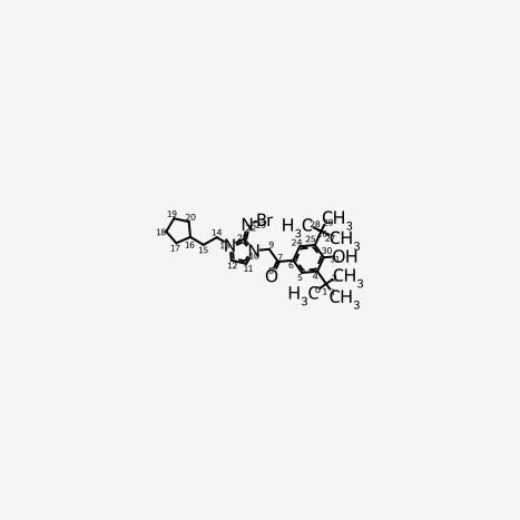 CC(C)(C)c1cc(C(=O)Cn2ccn(CCC3CCCC3)/c2=N/Br)cc(C(C)(C)C)c1O